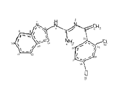 C=C(/N=C(\N)Nc1nc2ccccc2o1)c1ccc(Cl)cc1Cl